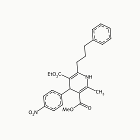 CCOC(=O)C1=C(CCCc2ccccc2)NC(C)=C(C(=O)OC)C1c1ccc([N+](=O)[O-])cc1